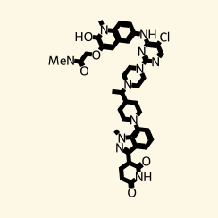 CNC(=O)COC1=Cc2cc(Nc3nc(N4CCN(C(C)C5CCN(c6cccc7c(C8CCC(=O)NC8=O)nn(C)c67)CC5)CC4)ncc3Cl)ccc2N(C)C1O